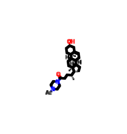 CC(=O)N1CCN(C(=O)CC[C@@H](C)[C@H]2CC[C@H]3[C@@H]4CC=C5C[C@@H](O)CC[C@]5(C)[C@H]4CC[C@]23C)CC1